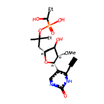 C#Cc1[nH]c(=O)ncc1[C@@H]1O[C@H](CC(C)(CC)OP(=O)(O)C(O)CC)C(O)[C@@H]1OC